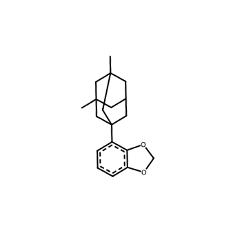 CC12CC3CC(C)(C1)CC(c1cccc4c1OCO4)(C3)C2